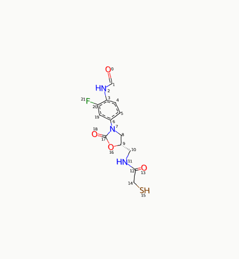 O=CNc1ccc(N2C[C@H](CNC(=O)CS)OC2=O)cc1F